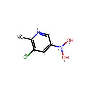 N#Cc1ncc(N(O)O)cc1Cl